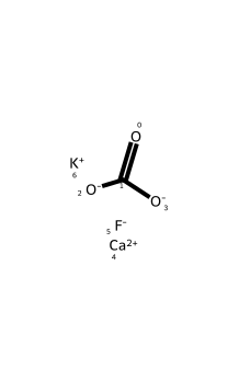 O=C([O-])[O-].[Ca+2].[F-].[K+]